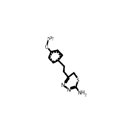 CCCOc1ccc(CCC2=NN=C(N)SC2)cc1